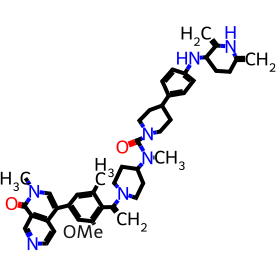 C=C1CCC(Nc2ccc(C3CCN(C(=O)N(C)C4CCN(C(=C)c5c(C)cc(-c6cn(C)c(=O)c7cnccc67)cc5OC)CC4)CC3)cc2)C(=C)N1